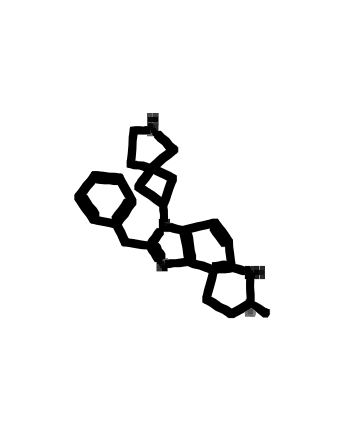 C[C@H]1CCc2c(ccc3c2nc(Cc2ccccc2)n3C2CC3(CCNC3)C2)N1